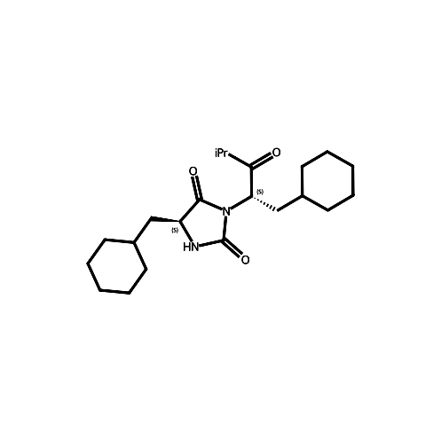 CC(C)C(=O)[C@H](CC1CCCCC1)N1C(=O)N[C@@H](CC2CCCCC2)C1=O